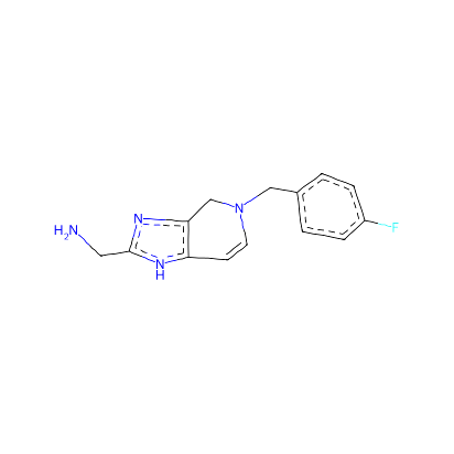 NCc1nc2c([nH]1)C=CN(Cc1ccc(F)cc1)C2